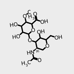 COC1C(C(=O)O)OC(OC2C(O)C(CO)OC[C@H]2NC(C)=O)C(O)C1O